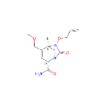 C=CCON1C(=O)N2C[C@H]1C(COC)=C[C@H]2C(N)=O